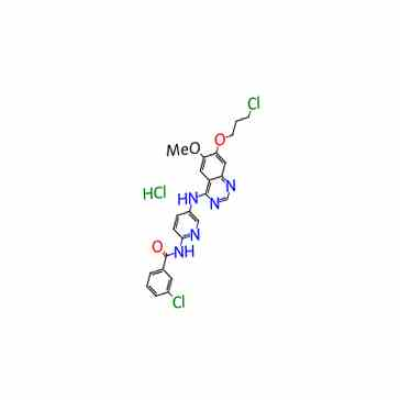 COc1cc2c(Nc3ccc(NC(=O)c4cccc(Cl)c4)nc3)ncnc2cc1OCCCCl.Cl